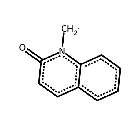 [CH2]n1c(=O)ccc2ccccc21